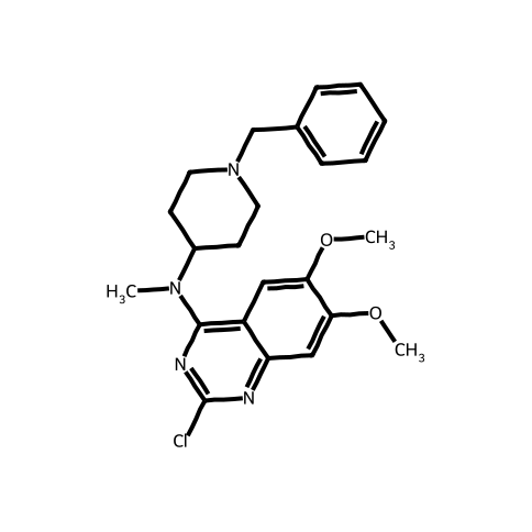 COc1cc2nc(Cl)nc(N(C)C3CCN(Cc4ccccc4)CC3)c2cc1OC